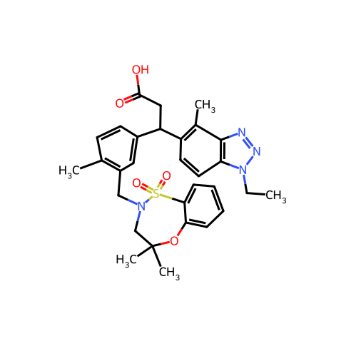 CCn1nnc2c(C)c(C(CC(=O)O)c3ccc(C)c(CN4CC(C)(C)Oc5ccccc5S4(=O)=O)c3)ccc21